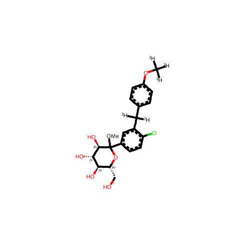 [2H]C([2H])([2H])Oc1ccc(C([2H])([2H])c2cc(C3(OC)O[C@H](CO)[C@@H](O)[C@H](O)[C@H]3O)ccc2Cl)cc1